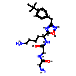 CC(C)(C)c1ccc(Cc2noc(C(CCCCN)NC(=O)CNC(=O)CN)n2)cc1